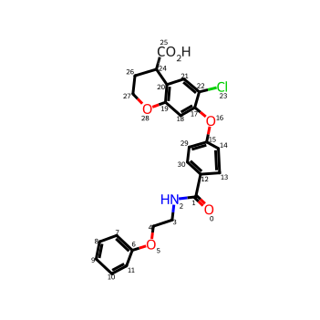 O=C(NCCOc1ccccc1)c1ccc(Oc2cc3c(cc2Cl)C(C(=O)O)CCO3)cc1